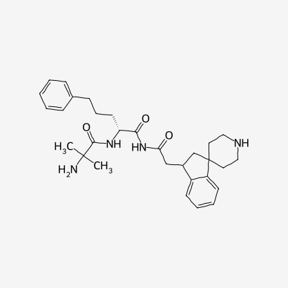 CC(C)(N)C(=O)N[C@H](CCCc1ccccc1)C(=O)NC(=O)CC1CC2(CCNCC2)c2ccccc21